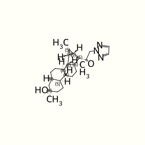 C[C@H]1[C@@H]2[C@H]1[C@H](C(=O)Cn1nccn1)[C@@]1(C)CC[C@H]3[C@@H](CC[C@@H]4C[C@](C)(O)CC[C@@H]43)[C@H]21